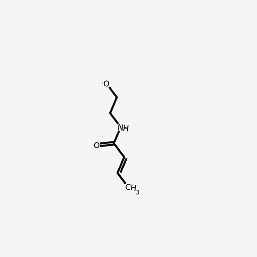 CC=CC(=O)NCC[O]